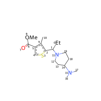 CCC(c1scc(C(=O)OC)c1C)N1CCC(N(C)C)CC1